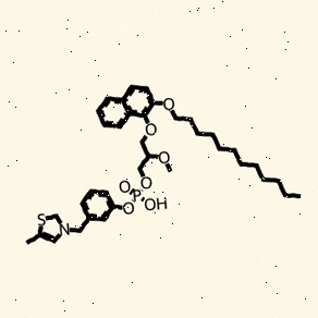 CCCCCCCCCCCCOc1ccc2ccccc2c1OCC(COP(=O)(O)Oc1cccc(CN2C=C(C)SC2)c1)OC